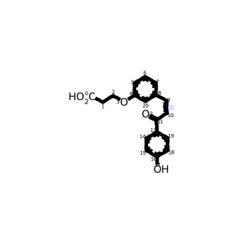 O=C(O)CCOc1cccc(/C=C\C(=O)c2ccc(O)cc2)c1